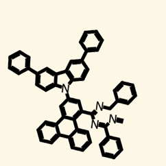 C=N/C(=N\C(=N/Cc1ccccc1)c1cc(-n2c3ccc(-c4ccccc4)cc3c3cc(-c4ccccc4)ccc32)cc2c3ccccc3c3ccccc3c12)c1ccccc1